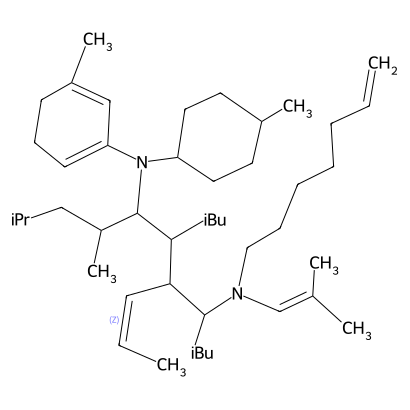 C=CCCCCCN(C=C(C)C)C(C(C)CC)C(/C=C\C)C(C(C)CC)C(C(C)CC(C)C)N(C1=CCCC(C)=C1)C1CCC(C)CC1